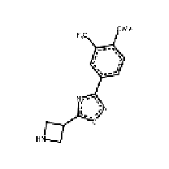 COc1ccc(-c2noc(C3CNC3)n2)cc1C(F)(F)F